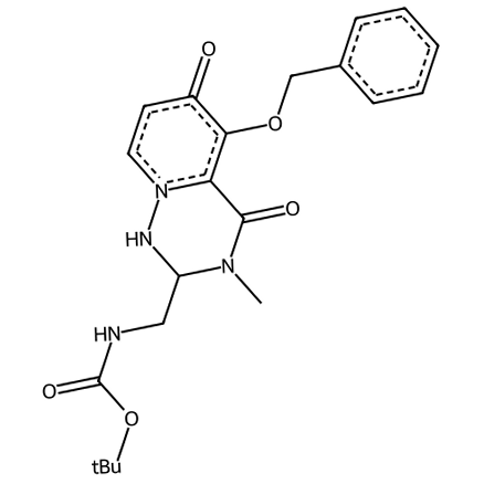 CN1C(=O)c2c(OCc3ccccc3)c(=O)ccn2NC1CNC(=O)OC(C)(C)C